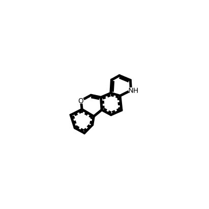 C1=CNc2ccc3c(c2=C1)=COc1ccccc1-3